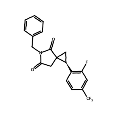 O=C1CC2(C[C@H]2c2ccc(C(F)(F)F)cc2F)C(=O)N1Cc1ccccc1